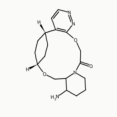 NC1CCCN2C(=O)COc3nnccc3[C@H]3CC[C@H](CC3)OCC12